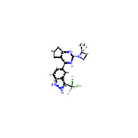 C[C@H]1CCN1c1nc2c(c(-c3ccc4[nH]nc(C(F)(F)F)c4c3)n1)CCC2